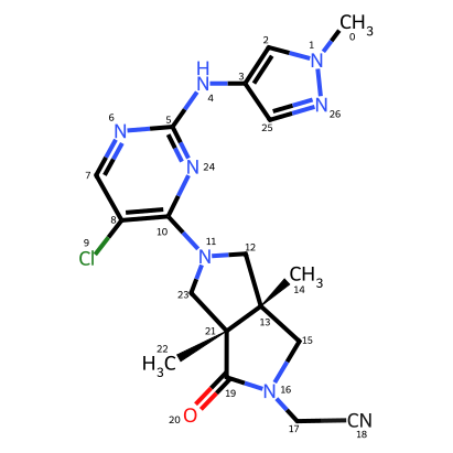 Cn1cc(Nc2ncc(Cl)c(N3C[C@]4(C)CN(CC#N)C(=O)[C@]4(C)C3)n2)cn1